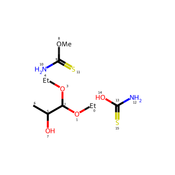 CCOC(OCC)C(C)O.COC(N)=S.NC(O)=S